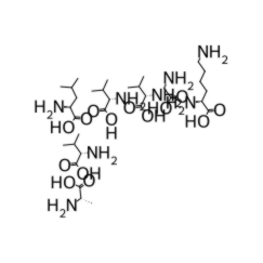 CC(C)C[C@H](N)C(=O)O.CC(C)[C@H](N)C(=O)O.CC(C)[C@H](N)C(=O)O.CC(C)[C@H](N)C(=O)O.C[C@H](N)C(=O)O.NCC(=O)O.NCCCC[C@H](N)C(=O)O